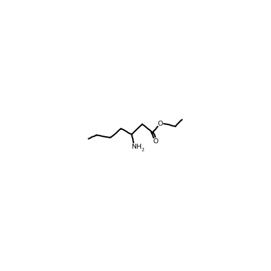 CCCCC(N)CC(=O)OCC